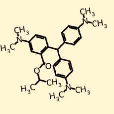 CC(C)OC(=O)c1cc(N(C)C)ccc1C(c1ccc(N(C)C)cc1)c1ccc(N(C)C)cc1